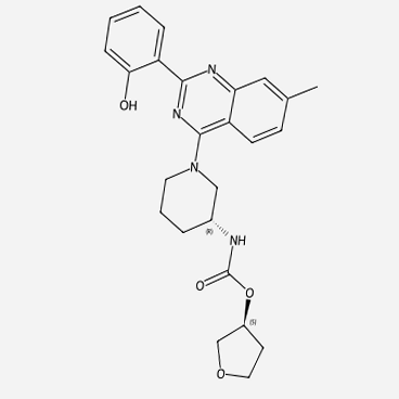 Cc1ccc2c(N3CCC[C@@H](NC(=O)O[C@H]4CCOC4)C3)nc(-c3ccccc3O)nc2c1